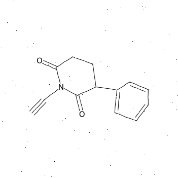 C#CN1C(=O)CCC(c2ccccc2)C1=O